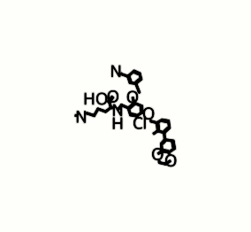 Cc1c(COc2cc(OCc3cccc(C#N)c3)c(CNC(CCCCN(C)C)C(=O)O)cc2Cl)cccc1-c1ccc2c(c1)OCCO2